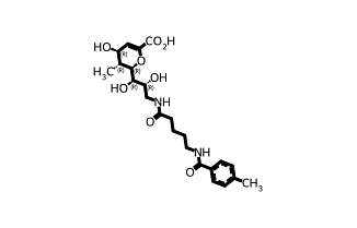 Cc1ccc(C(=O)NCCCCC(=O)NC[C@@H](O)[C@@H](O)[C@@H]2OC(C(=O)O)=C[C@H](O)[C@H]2C)cc1